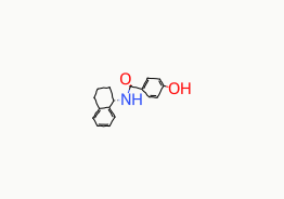 O=C(N[C@H]1CCCc2ccccc21)c1ccc(O)cc1